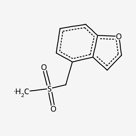 [CH2]S(=O)(=O)Cc1cccc2occc12